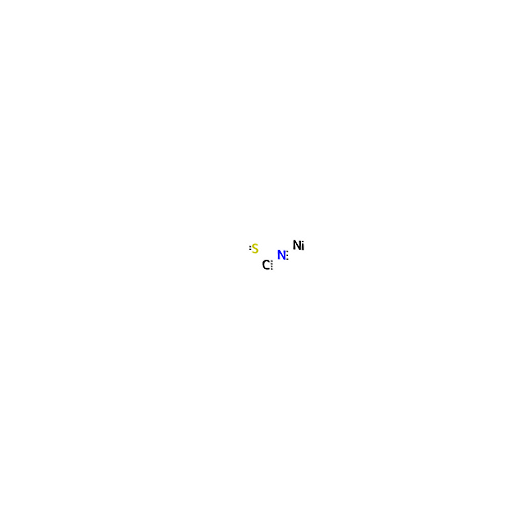 [C].[N].[Ni].[S]